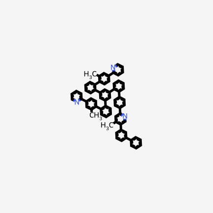 Cc1cc(-c2ccc(-c3ccccc3-c3cc(-c4ccccc4-c4ccc(-c5ccccn5)cc4C)cc(-c4ccccc4-c4ccc(-c5ccccn5)cc4C)c3)cc2)ncc1-c1cccc(-c2ccccc2)c1